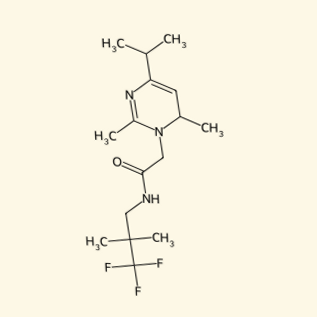 CC1=NC(C(C)C)=CC(C)N1CC(=O)NCC(C)(C)C(F)(F)F